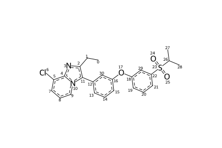 CCc1nc2c(Cl)cccn2c1-c1cccc(Oc2cccc(S(=O)(=O)C(C)C)c2)c1